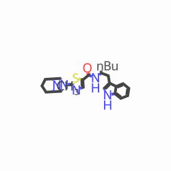 CCCCC(Cc1c[nH]c2ccccc12)NC(=O)c1cnc(N2CC3CCCC(C2)N3C)s1